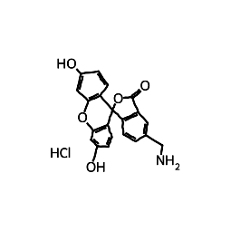 Cl.NCc1ccc2c(c1)C(=O)OC21c2ccc(O)cc2Oc2cc(O)ccc21